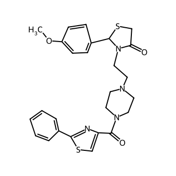 COc1ccc(C2SCC(=O)N2CCN2CCN(C(=O)c3csc(-c4ccccc4)n3)CC2)cc1